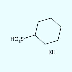 O=S(=O)(O)C1CCCCC1.[KH]